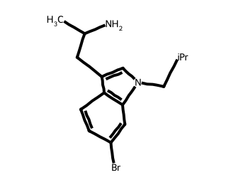 CC(C)Cn1cc(CC(C)N)c2ccc(Br)cc21